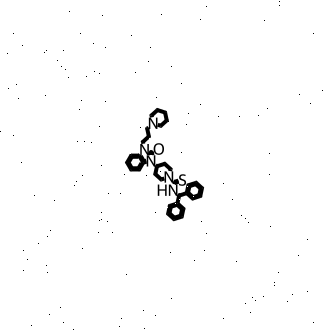 O=c1n(CCCN2CCCCC2)c2ccccc2n1C1CCN(C(=S)NC(c2ccccc2)c2ccccc2)CC1